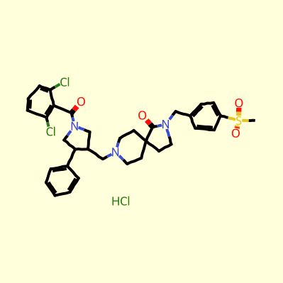 CS(=O)(=O)c1ccc(CN2CCC3(CCN(CC4CN(C(=O)c5c(Cl)cccc5Cl)CC4c4ccccc4)CC3)C2=O)cc1.Cl